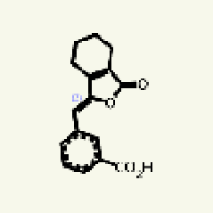 O=C1O/C(=C\c2cccc(C(=O)O)c2)C2=C1CCCC2